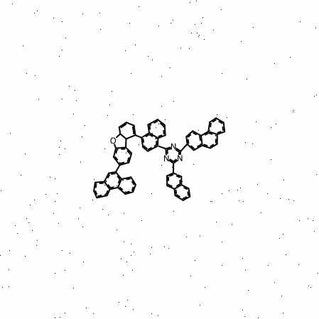 C1=CC2Oc3cc(-c4cc5ccccc5c5ccccc45)ccc3C2C(c2ccc(-c3nc(-c4ccc5ccccc5c4)nc(-c4ccc5c(ccc6ccccc65)c4)n3)c3ccccc23)=C1